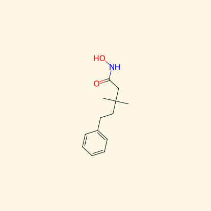 CC(C)(CCc1ccccc1)CC(=O)NO